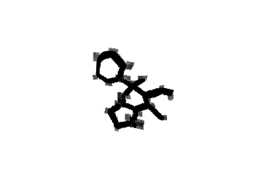 C/C=C(\C(C)C1NCCN1)C(C)(C)N1CCCCC1